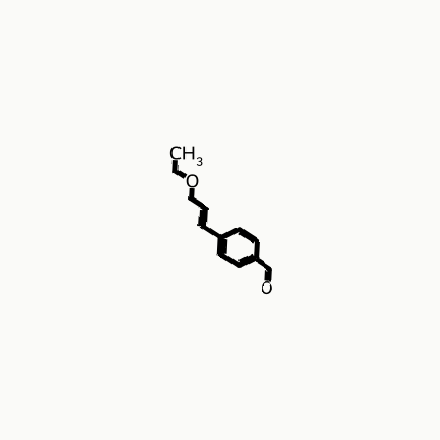 CCOC/C=C/c1ccc(C=O)cc1